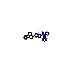 c1ccc(N2c3ccccc3NC2c2ccc3cc(-c4ccc5c6c(cccc46)-c4ccccc4-5)ccc3c2)cc1